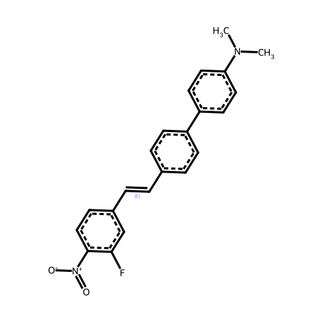 CN(C)c1ccc(-c2ccc(/C=C/c3ccc([N+](=O)[O-])c(F)c3)cc2)cc1